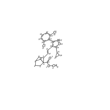 COC(=O)C12CCC(CC1C=Cc1c(-c3c(Cl)cccc3Cl)noc1C1CC1)C2